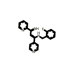 N=C(/C=C(\NCc1ccccc1F)c1ccncc1)c1ccccn1